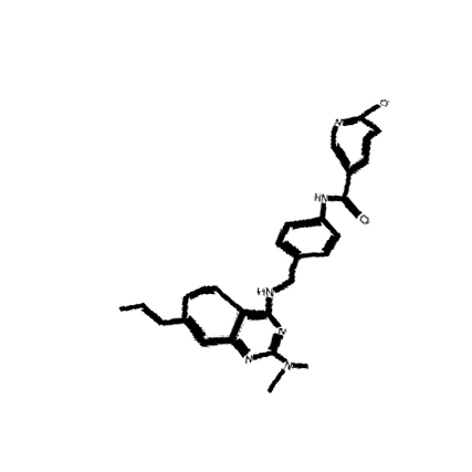 C/C=C/c1ccc2c(NCc3ccc(NC(=O)c4ccc(Cl)nc4)cc3)nc(N(C)C)nc2c1